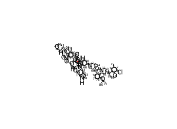 Cc1cc(Cl)c2c(c1)[C@H](N1CCN(C3CC4(CCN(c5ccc(C(=O)NS(=O)(=O)c6cc7c(c([N+](=O)[O-])c6)N[C@H](C6CCOCC6)CO7)c(N6c7cc8cc[nH]c8nc7O[C@H]7COCC[C@@H]76)c5)CC4)C3)[C@H](c3ccccc3OC(C)C)C1)CCO2